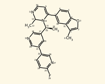 Cc1coc2ccc(C3=CC=NC(C)N3[C@@H](C)c3cncc(-c4ccc(F)nc4)c3)cc12